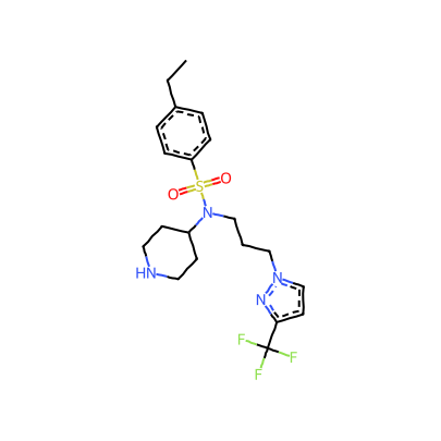 CCc1ccc(S(=O)(=O)N(CCCn2ccc(C(F)(F)F)n2)C2CCNCC2)cc1